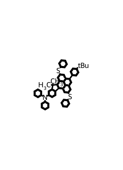 CC(C)(C)c1ccc(-c2cc3cc(Sc4ccccc4)cc4c5c(c6cc(Sc7ccccc7)cc2c6c34)C(C)(C)c2cc(N(c3ccccc3)c3ccccc3)ccc2-5)cc1